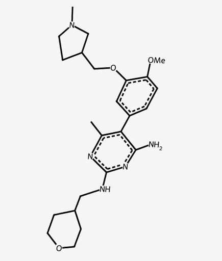 COc1ccc(-c2c(C)nc(NCC3CCOCC3)nc2N)cc1OCC1CCN(C)C1